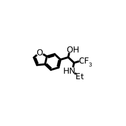 CCNC(C(O)c1ccc2ccoc2c1)C(F)(F)F